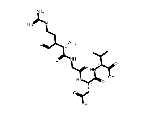 CC(C)[C@H](NC(=O)[C@H](CC(=O)O)NC(=O)CNC(=O)[C@@H](N)C(C=O)CCNC(=N)N)C(=O)O